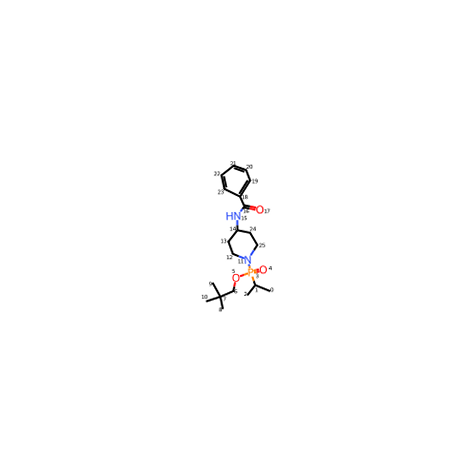 CC(C)P(=O)(OCC(C)(C)C)N1CCC(NC(=O)c2ccccc2)CC1